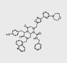 O=C1C(Cc2ccc(O)cc2)N2C(=O)CN(Cc3cc(-c4cccc(N5CCOCC5)n4)no3)N(C(=O)NCc3ccccc3)C2CN1Cc1cccc2ncccc12